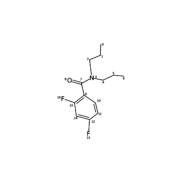 CCCN(CCC)C(=O)c1ccc(F)cc1F